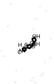 [C-]#[N+]c1ccc(-c2ccc(S(=O)(=O)NC3CCC(O)CC3)cc2C)cc1